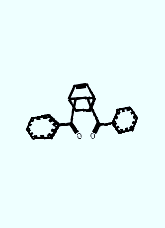 O=C(c1ccccc1)C1C2C=CC(CC2)C1C(=O)c1ccccc1